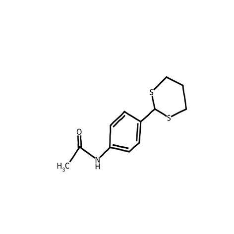 CC(=O)Nc1ccc(C2SCCCS2)cc1